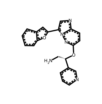 NC[C@H](Oc1ccc2ncc(-c3cc4ccccc4o3)n2n1)c1cccnc1